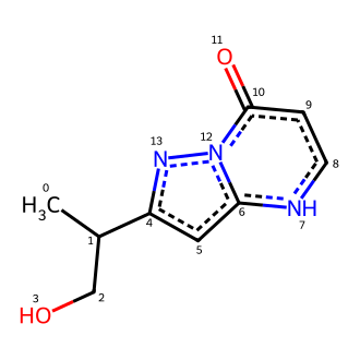 CC(CO)c1cc2[nH]ccc(=O)n2n1